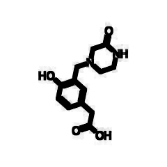 O=C(O)Cc1ccc(O)c(CN2CCNC(=O)C2)c1